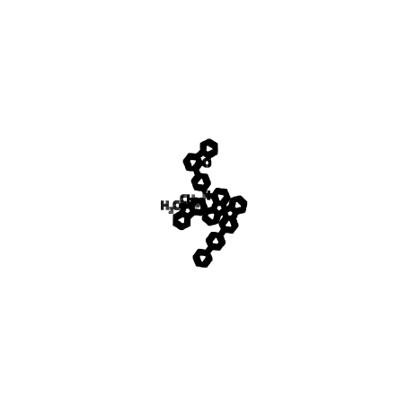 CC1(C)c2ccccc2-c2ccc(N(c3ccc(-c4cccc5c4oc4ccccc45)cc3)c3cccc4c3-c3ccccc3C43c4ccccc4-c4ccc(-c5ccc(-c6ccccc6)cc5)cc43)cc21